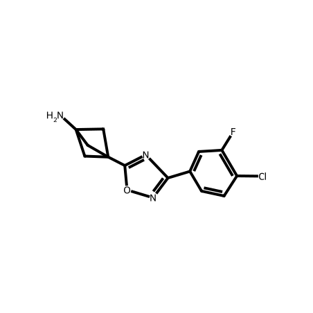 NC12CC(c3nc(-c4ccc(Cl)c(F)c4)no3)(C1)C2